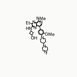 CCc1nc2c(NC)ncc(-c3ccc(N4CCC(N5CCN(C)CC5)CC4)c(OC)c3)c2nc1NC1CC(O)C1